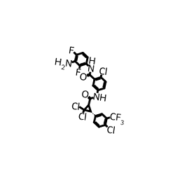 Nc1c(F)ccc(NC(=O)c2cc(NC(=O)C3[C@H](c4ccc(Cl)c(C(F)(F)F)c4)C3(Cl)Cl)ccc2Cl)c1F